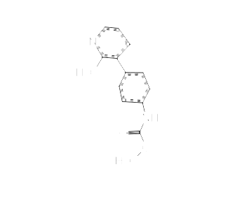 COC(=O)Nc1ccc(-c2cccnc2C)cc1